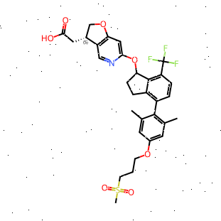 Cc1cc(OCCCS(C)(=O)=O)cc(C)c1-c1ccc(C(F)(F)F)c2c1CCC2Oc1cc2c(cn1)[C@H](CC(=O)O)CO2